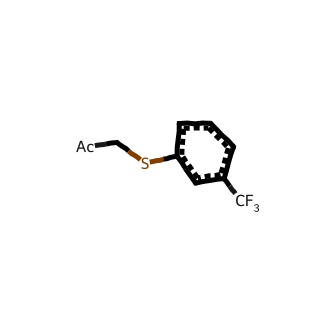 CC(=O)CSc1cccc(C(F)(F)F)c1